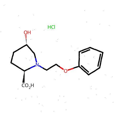 Cl.O=C(O)[C@H]1CC[C@H](O)CN1CCOc1ccccc1